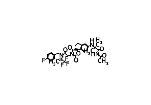 CC(=O)NC(=O)C(C)(C)Nc1ccc2c(c1)CC[C@@]21OC(=O)N(CC(=O)N(Cc2ccc(F)cc2)[C@@H](C)C(F)(F)F)C1=O